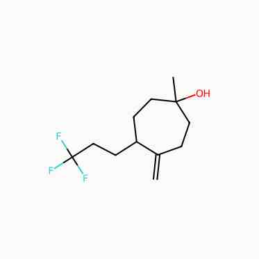 C=C1CCC(C)(O)CCC1CCC(F)(F)F